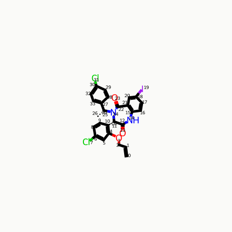 C=CCOc1cc(Cl)ccc1[C@H]1C(=O)Nc2ccc(I)cc2C(=O)N1[C@H](C)c1ccc(Cl)cc1